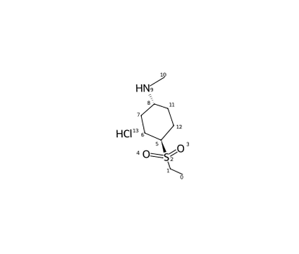 CCS(=O)(=O)[C@H]1CC[C@H](NC)CC1.Cl